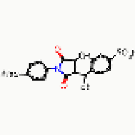 CCCCCCc1ccc(N2C(=O)C(C)C(C(CC)c3ccc(S(=O)(=O)O)cc3)C2=O)cc1